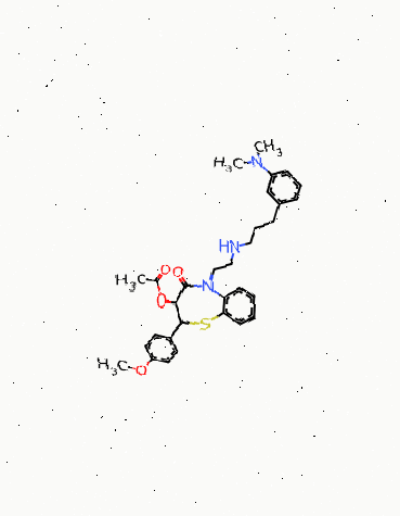 COc1ccc(C2Sc3ccccc3N(CCNCCCc3cccc(N(C)C)c3)C(=O)C2OC(C)=O)cc1